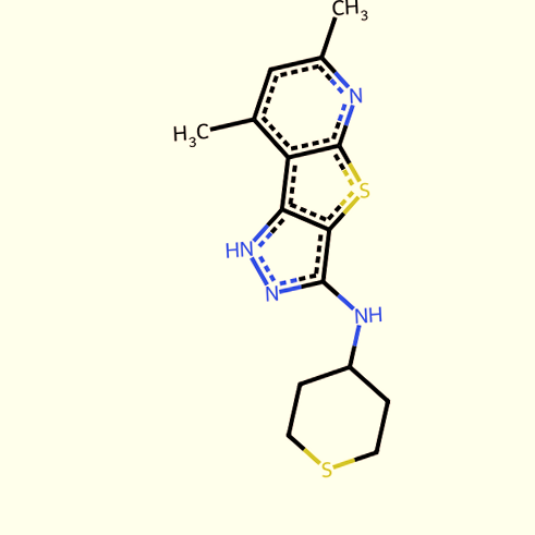 Cc1cc(C)c2c(n1)sc1c(NC3CCSCC3)n[nH]c12